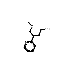 COCC(CCO)c1ccccn1